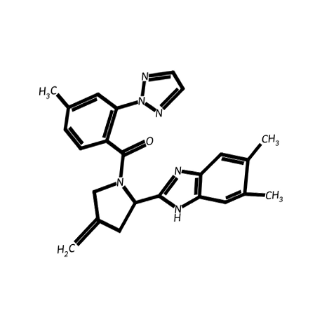 C=C1CC(c2nc3cc(C)c(C)cc3[nH]2)N(C(=O)c2ccc(C)cc2-n2nccn2)C1